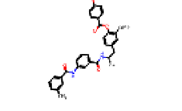 CCCCCCCOc1ccc(C(=O)Oc2ccc(CC(NC(=O)c3cccc(NC(=O)c4cccc(C)c4)c3)C(C)=O)cc2OC)cc1